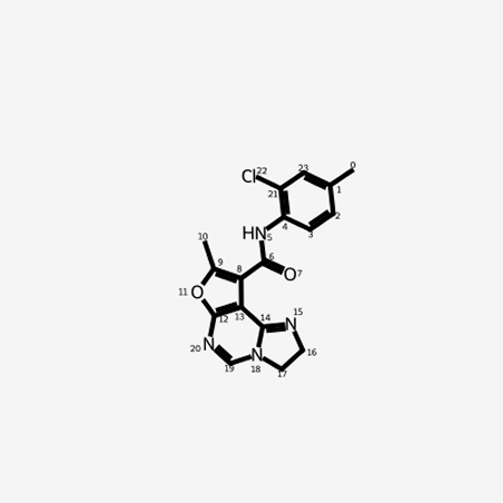 Cc1ccc(NC(=O)c2c(C)oc3c2C2=NCCN2C=N3)c(Cl)c1